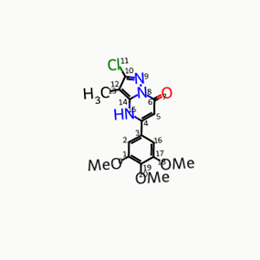 COc1cc(-c2cc(=O)n3nc(Cl)c(C)c3[nH]2)cc(OC)c1OC